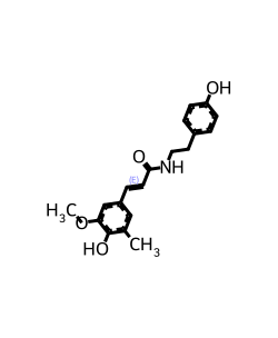 COc1cc(/C=C/C(=O)NCCc2ccc(O)cc2)cc(C)c1O